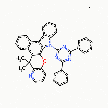 CC1(C)c2ncccc2Oc2c1c1ccccc1c1c3ccccc3n(-c3nc(-c4ccccc4)nc(-c4ccccc4)n3)c21